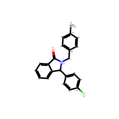 O=C1c2ccccc2C(c2ccc(Cl)cc2)N1Cc1ccc([N+](=O)[O-])cc1